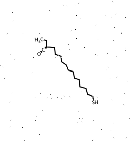 CCC(=C=O)CCCCCCCCCCCCCS